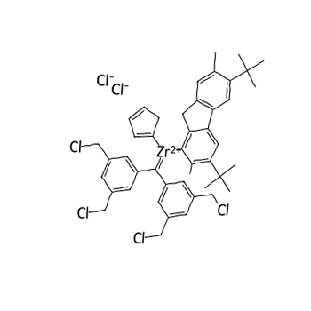 Cc1cc2c(cc1C(C)(C)C)-c1cc(C(C)(C)C)c(C)[c]([Zr+2]([C]3=CC=CC3)=[C](c3cc(CCl)cc(CCl)c3)c3cc(CCl)cc(CCl)c3)c1C2.[Cl-].[Cl-]